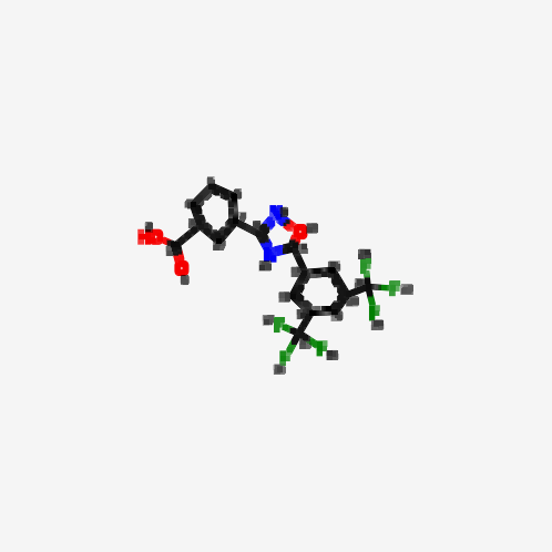 O=C(O)c1cccc(-c2noc(-c3cc(C(F)(F)F)cc(C(F)(F)F)c3)n2)c1